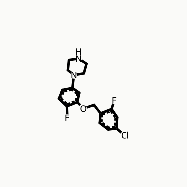 Fc1cc(Cl)ccc1COc1cc(N2CCNCC2)ccc1F